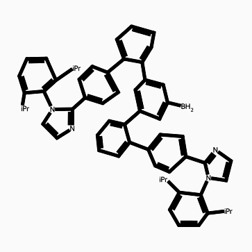 Bc1cc(-c2ccccc2-c2ccc(-c3nccn3-c3c(C(C)C)cccc3C(C)C)cc2)cc(-c2ccccc2-c2ccc(-c3nccn3-c3c(C(C)C)cccc3C(C)C)cc2)c1